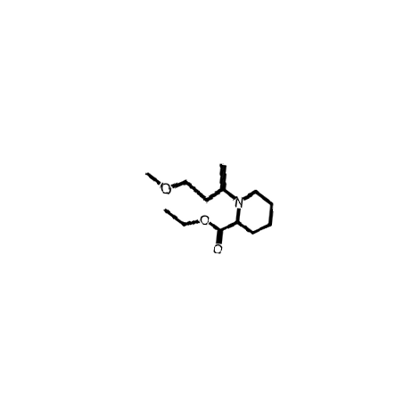 C=C(CCOC)N1CCCCC1C(=O)OCC